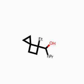 CCCC(O)C1(CC)CCC12CC2